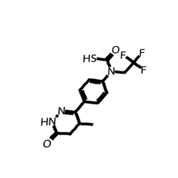 CC1CC(=O)NN=C1c1ccc(N(CC(F)(F)F)C(=O)S)cc1